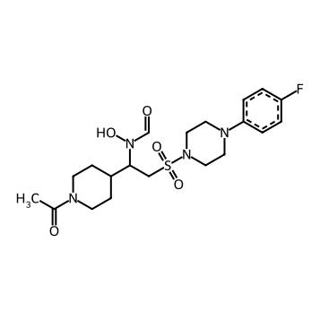 CC(=O)N1CCC(C(CS(=O)(=O)N2CCN(c3ccc(F)cc3)CC2)N(O)C=O)CC1